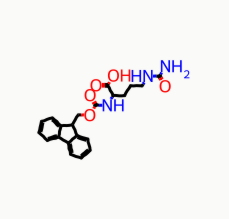 NC(=O)NCCCC(NC(=O)OCC1c2ccccc2-c2ccccc21)C(=O)O